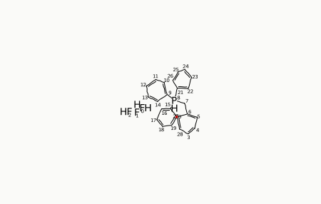 F.F.F.c1ccc(C[PH](c2ccccc2)(c2ccccc2)c2ccccc2)cc1